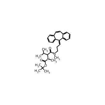 CC(C)C(C(=O)N(C)CCC=C1c2ccccc2C=Cc2ccccc21)N(C)C(=O)OC(C)(C)C